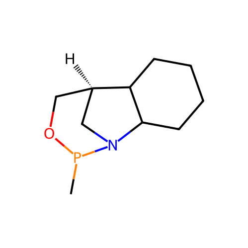 CP1OC[C@@H]2CN1C1CCCCC12